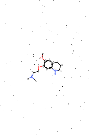 COc1cc2c(cc1OCCN(C)C)NCCC2